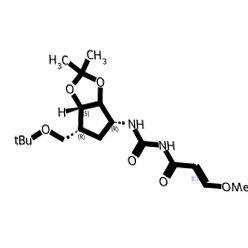 CO/C=C/C(=O)NC(=O)N[C@@H]1C[C@H](COC(C)(C)C)[C@@H]2OC(C)(C)OC21